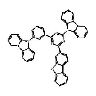 c1cc(-c2nc(-c3ccc4c(c3)oc3ccccc34)nc(-n3c4ccccc4c4ccccc43)n2)cc(-n2c3ccccc3c3ccccc32)c1